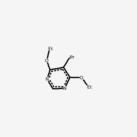 CCOc1ncnc(OCC)c1C(C)C